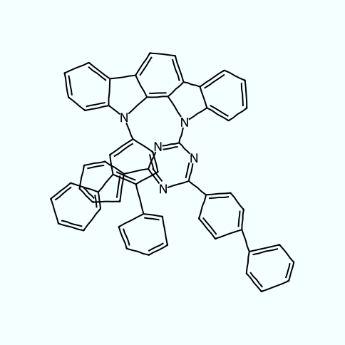 c1ccc(-c2ccc(-c3nc(-c4ccccc4)nc(-n4c5ccccc5c5ccc6c7ccccc7n(-c7ccc(-c8ccccc8)c(-c8ccccc8)c7)c6c54)n3)cc2)cc1